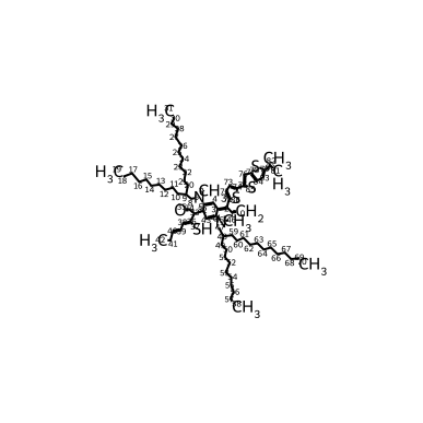 C=C/C(=C1/C=C(N(C)CC(CCCCCCCCCC)CCCCCCCCCCCC)C(C(C=O)/C(S)=C/C=C/CC)C=C1N(C)CC(CCCCCCCCCC)CCCCCCCCCCCC)c1ccc(-c2cc3sc(C(C)C)cc3s2)s1